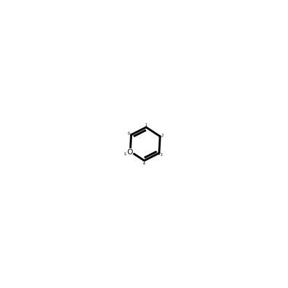 [C]1=CC[C]=CO1